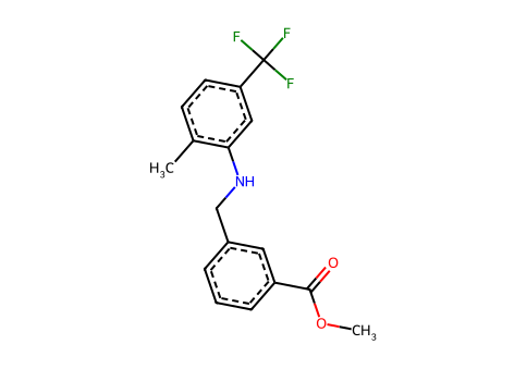 COC(=O)c1cccc(CNc2cc(C(F)(F)F)ccc2C)c1